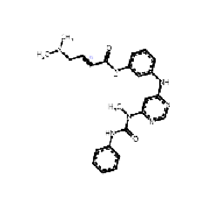 CN(C)C/C=C/C(=O)Nc1cccc(Nc2cc(N(C)C(=O)Nc3ccccc3)ncn2)c1